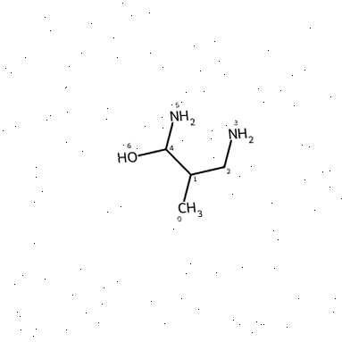 CC(CN)C(N)O